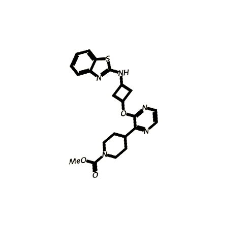 COC(=O)N1CCC(c2nccnc2OC2CC(Nc3nc4ccccc4s3)C2)CC1